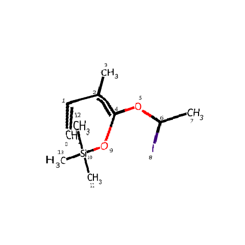 C=CC(C)=C(OC(C)I)O[Si](C)(C)C